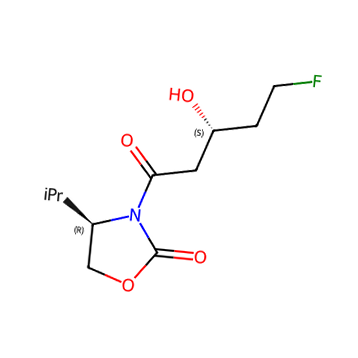 CC(C)[C@@H]1COC(=O)N1C(=O)C[C@H](O)CCF